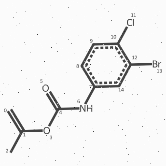 C=C(C)OC(=O)Nc1ccc(Cl)c(Br)c1